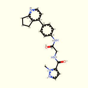 Cn1nccc1C(=O)NCC(=O)Nc1ccc(-c2ccnc3c2CCC3)cc1